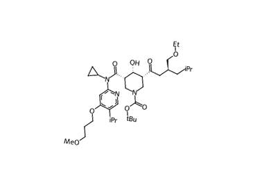 CCOC[C@H](CC(=O)[C@@H]1CN(C(=O)OC(C)(C)C)C[C@H](C(=O)N(c2cc(OCCCOC)c(C(C)C)cn2)C2CC2)[C@@H]1O)CC(C)C